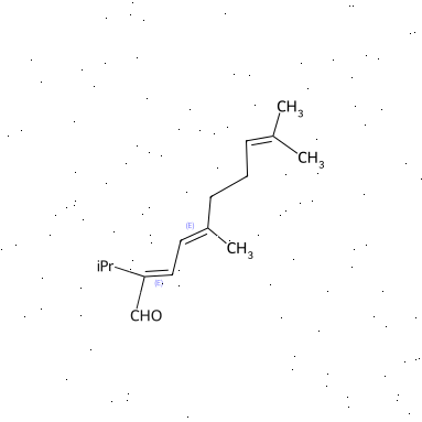 CC(C)=CCC/C(C)=C/C=C(/C=O)C(C)C